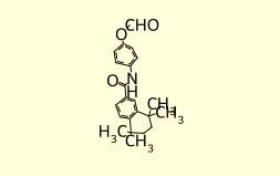 CC1(C)CCC(C)(C)c2cc(C(=O)Nc3ccc(OC=O)cc3)ccc21